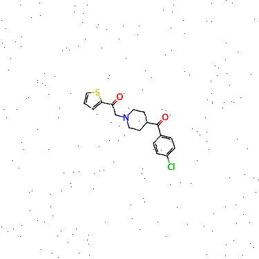 O=C(CN1CCC(C(=O)c2ccc(Cl)cc2)CC1)c1cccs1